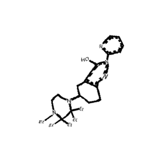 CCN1CCN(C2CCc3nn(-c4ccccn4)c(O)c3C2)C(CC)(CC)C1(CC)CC